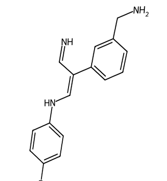 N=C/C(=C\Nc1ccc(F)cc1)c1cccc(CN)c1